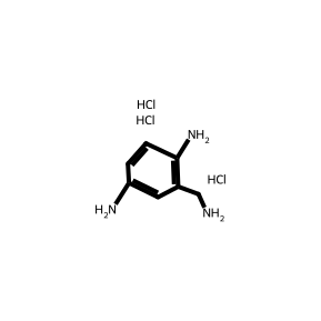 Cl.Cl.Cl.NCc1cc(N)ccc1N